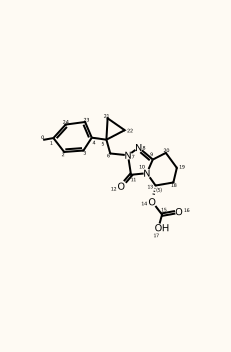 Cc1ccc(C2(Cn3nc4n(c3=O)[C@@H](OC(=O)O)CCC4)CC2)cc1